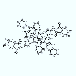 O=C1C(=Cc2cc3c(s2)-c2sc4c5c(sc4c2C3(C(=O)OCc2ccccc2)C(=O)OCc2ccccc2)-c2sc(C=C3C(=O)c4cc(F)c(F)cc4C3=O)cc2C5(C(=O)OCc2ccccc2)C(=O)OCc2ccccc2)C(=O)c2cc(F)c(F)cc21